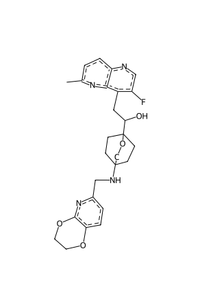 Cc1ccc2ncc(F)c(CC(O)C34CCC(NCc5ccc6c(n5)OCCO6)(CC3)CO4)c2n1